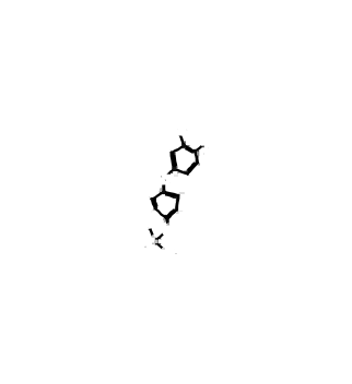 CC(C)(C)[Si](C)(C)Oc1ccc(Nc2ccc(F)c(Cl)c2)cc1